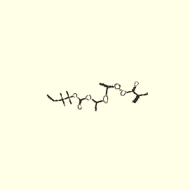 C=C(C)C(=O)OOC(C)OC(C)OC(=O)OC(C)(C)C(C)(C)CC